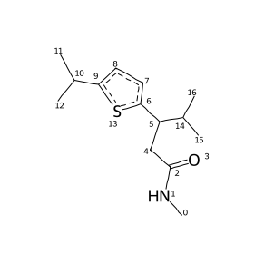 CNC(=O)CC(c1ccc(C(C)C)s1)C(C)C